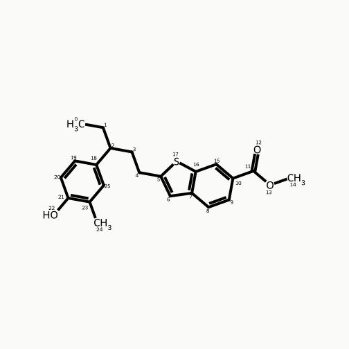 CCC(CCc1cc2ccc(C(=O)OC)cc2s1)c1ccc(O)c(C)c1